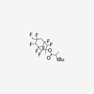 CC(C(=O)OC1(C)C(F)C2(F)CC(F)(CF)C(F)C(F)(C2F)C1F)C(C)(C)C